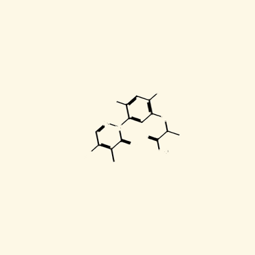 COC(=O)C(C)Oc1cc(-n2ncc(C(F)(F)F)c(C)c2=O)c(F)cc1Cl